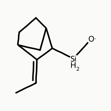 CC=C1C2CCC(C2)C1[SiH2][O]